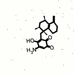 C=C1CCCC2=C1[C@H](C)C[C@H](C)[C@@]2(C)CC1=C(O)C(N)=CC(=O)C1=O